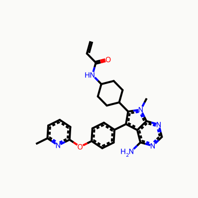 C=CC(=O)NC1CCC(c2c(-c3ccc(Oc4cccc(C)n4)cc3)c3c(N)ncnc3n2C)CC1